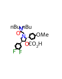 CCCCN(CCCC)C(=O)CN1C[C@H](c2ccc(F)c(F)c2)[C@H](OC(=O)O)[C@H]1c1ccc(OC)cc1